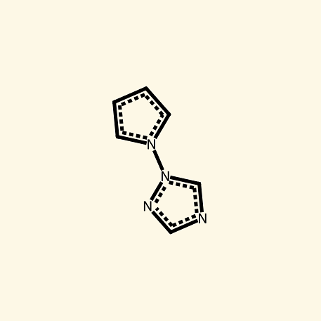 c1ccn(-n2cncn2)c1